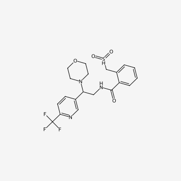 O=C(NCC(c1ccc(C(F)(F)F)nc1)N1CCOCC1)c1ccccc1C[SH](=O)=O